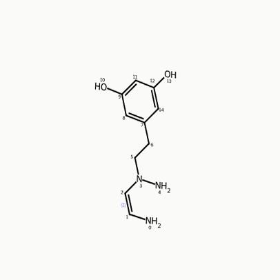 N/C=C\N(N)CCc1cc(O)cc(O)c1